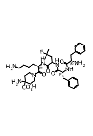 CC(C)(F)CC(NC(=O)[C@@H](Cc1ccccc1)NC(=O)[C@H](N)Cc1ccccc1)C(=O)N[C@H](CCCCN)C(=O)N1CCC(N)(C(=O)O)CC1